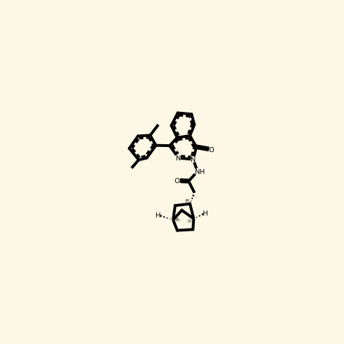 Cc1ccc(C)c(-c2nn(NC(=O)C[C@H]3C[C@@H]4CC[C@H]3C4)c(=O)c3ccccc23)c1